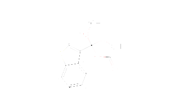 COC(OC)(OC=O)c1csc2ccccc12